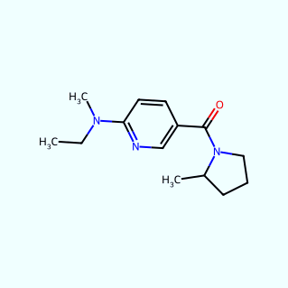 CCN(C)c1ccc(C(=O)N2CCCC2C)cn1